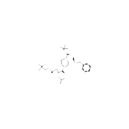 CC(C)C[C@H](CC(=O)OCC(Cl)(Cl)Cl)C(=O)N1CCN(C(=O)OC(C)(C)C)[C@H](C(=O)OCc2ccccc2)C1